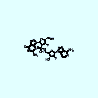 Nc1nc2c(nnn2[C@@H]2O[C@H](CO)[C@H](F)[C@H]2P(O)(=S)OCC2O[C@@H](n3nnc4c(N)ncnc43)[C@@H](F)[C@@H]2O)c(=O)[nH]1